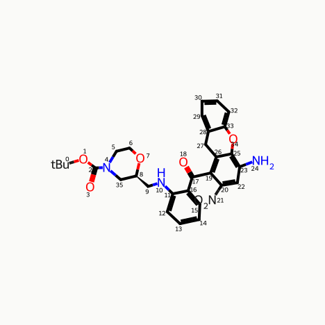 CC(C)(C)OC(=O)N1CCO[C@@H](CNc2ccccc2C(=O)c2c([N+](=O)[O-])cc(N)c3c2Cc2ccccc2O3)C1